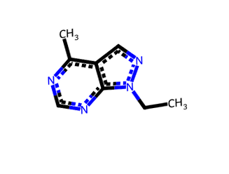 CCn1ncc2c(C)ncnc21